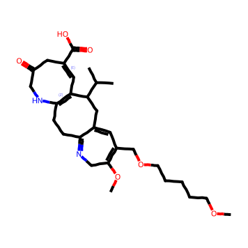 COCCCCCOCC1=C(OC)CN=C2CC/C3=C(/C=C(/C(=O)O)CC(=O)CN3)C(C(C)C)CC2=C1